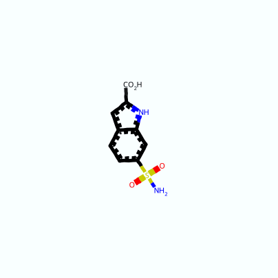 NS(=O)(=O)c1ccc2cc(C(=O)O)[nH]c2c1